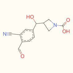 N#Cc1cc(C(O)C2CN(C(=O)O)C2)ccc1C=O